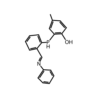 Cc1ccc(O)c(Pc2ccccc2/C=N/c2ccccc2)c1